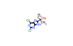 CC(C)(O)c1nc2c(Cl)nc(Cl)nc2[nH]1